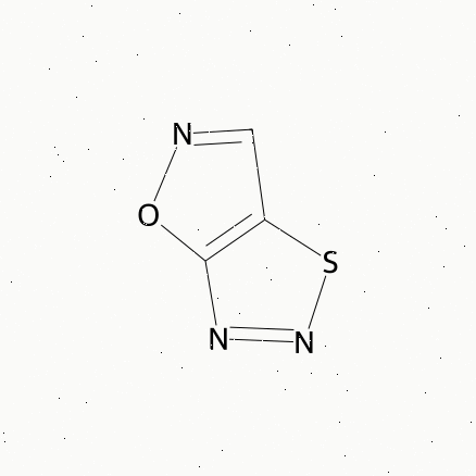 c1noc2nnsc12